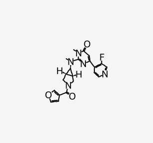 CN(c1nc(-c2ccncc2F)cc(=O)n1C)[C@H]1[C@@H]2CN(C(=O)c3ccoc3)C[C@@H]21